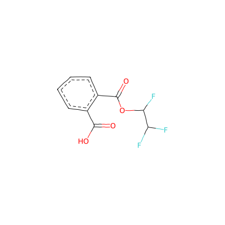 O=C(O)c1ccccc1C(=O)OC(F)C(F)F